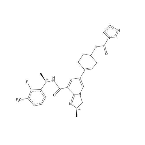 C[C@@H]1CN2C=C(C3=CCC(OC(=O)n4ccnc4)CC3)C=C(C(=O)N[C@H](C)c3cccc(C(F)(F)F)c3F)C2=N1